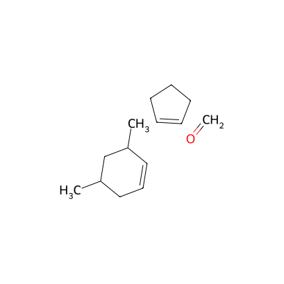 C1=CCCC1.C=O.CC1C=CCC(C)C1